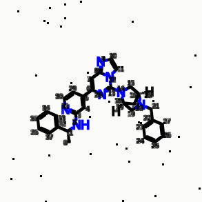 C[C@H](Nc1cc(-c2cc3nccn3c(N3C[C@@H]4C[C@H]3CN4Cc3ccccc3)n2)ccn1)c1ccccc1